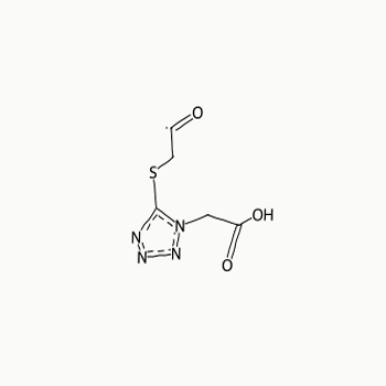 O=[C]CSc1nnnn1CC(=O)O